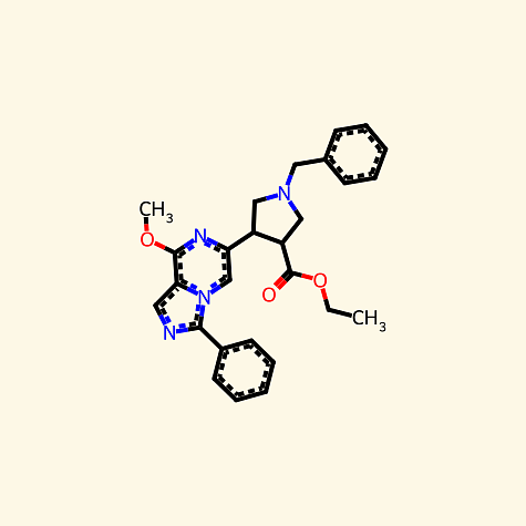 CCOC(=O)C1CN(Cc2ccccc2)CC1c1cn2c(-c3ccccc3)ncc2c(OC)n1